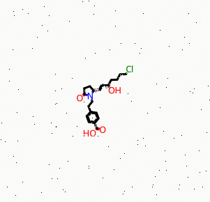 O=C(O)c1ccc(CCN2C(=O)CC[C@@H]2C=C[C@@H](O)CCCCCl)cc1